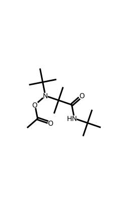 CC(=O)ON(C(C)(C)C)C(C)(C)C(=O)NC(C)(C)C